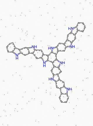 c1ccc2c(c1)[nH]c1cc3c(cc12)[nH]c1cc2c(cc13)[nH]c1c2c2[nH]c3cc4c(cc3c2c2[nH]c3cc5c(cc3c12)[nH]c1cc2c(cc15)[nH]c1ccccc12)[nH]c1cc2c(cc14)[nH]c1ccccc12